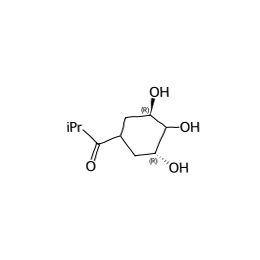 CC(C)C(=O)C1C[C@@H](O)C(O)[C@H](O)C1